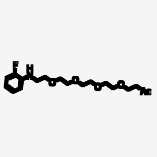 CC(=O)CCOCCOCCOCCOCCNc1ccccc1F